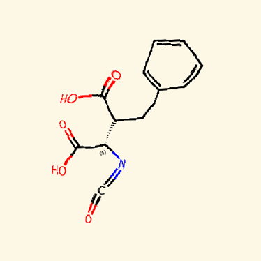 O=C=N[C@H](C(=O)O)C(Cc1ccccc1)C(=O)O